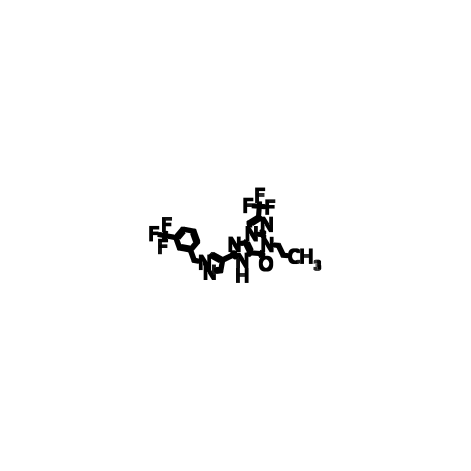 CCCn1c(=O)c2[nH]c(-c3cnn(Cc4cccc(C(F)(F)F)c4)c3)nc2n2cc(C(F)(F)F)nc12